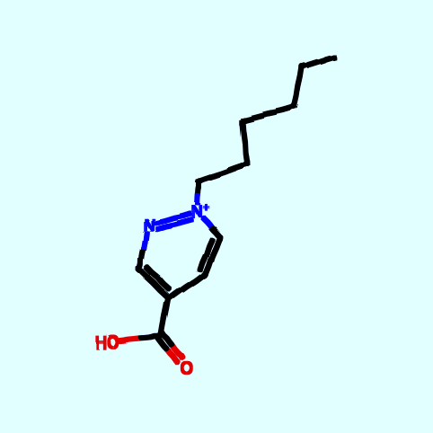 CCCCCC[n+]1ccc(C(=O)O)cn1